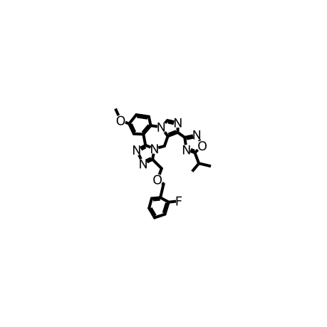 COc1ccc2c(c1)-c1nnc(COCc3ccccc3F)n1Cc1c(-c3noc(C(C)C)n3)ncn1-2